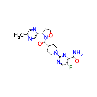 Cc1cnc([C@@H]2CCON2C(=O)C2CCN(c3ncc(F)c(C(N)=O)n3)CC2)cn1